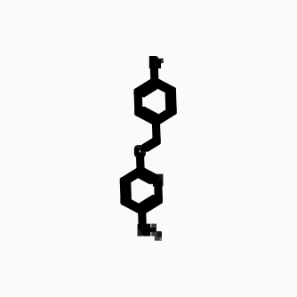 Nc1ccc(OCc2ccc(Br)cc2)nc1